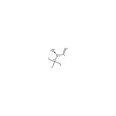 [CH]=C[S@+]([O-])C(C)(C)C